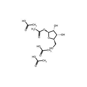 CC(=O)O.CC(=O)O.CC(=O)O.CC(=O)O[C@@H]1O[C@H](CO)[C@@H](O)[C@H]1O